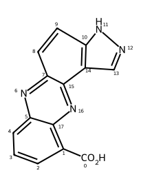 O=C(O)c1cccc2nc3ccc4[nH]ncc4c3nc12